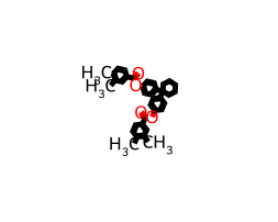 Cc1ccc(C(=O)Oc2ccc(C3(c4ccc(OC(=O)c5ccc(C)c(C)c5)cc4)CCCCC3)cc2)cc1C